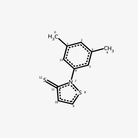 Cc1cc(C)cc(-n2sccc2=S)c1